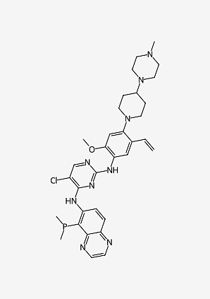 C=Cc1cc(Nc2ncc(Cl)c(Nc3ccc4nccnc4c3P(C)C)n2)c(OC)cc1N1CCC(N2CCN(C)CC2)CC1